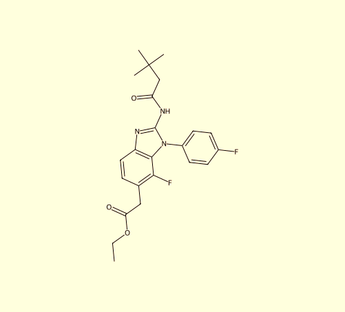 CCOC(=O)Cc1ccc2nc(NC(=O)CC(C)(C)C)n(-c3ccc(F)cc3)c2c1F